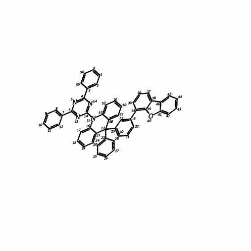 c1ccc(-c2nc(-c3ccccc3)nc(N3c4ccccc4C(c4ccccc4)(c4cccc(-c5cccc6c5oc5ccccc56)c4)c4ccccc43)n2)cc1